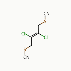 N#CSCC(Cl)=C(Cl)CSC#N